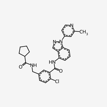 Cc1cc(-n2ncc3c(NC(=O)c4cc(CNC(=O)C5CCCC5)ccc4Cl)cccc32)ccn1